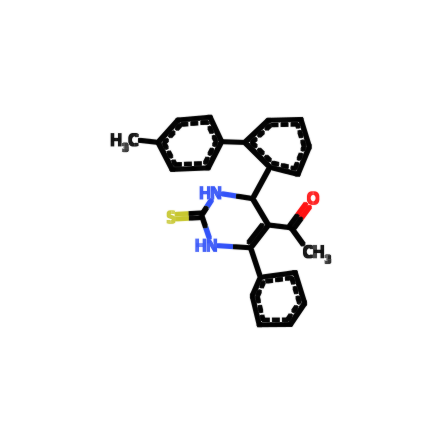 CC(=O)C1=C(c2ccccc2)NC(=S)NC1c1ccccc1-c1ccc(C)cc1